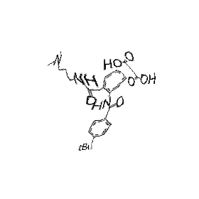 CN(C)CCCNC(=O)c1ccccc1NC(=O)c1ccc(C(C)(C)C)cc1.O=C(O)C(=O)O